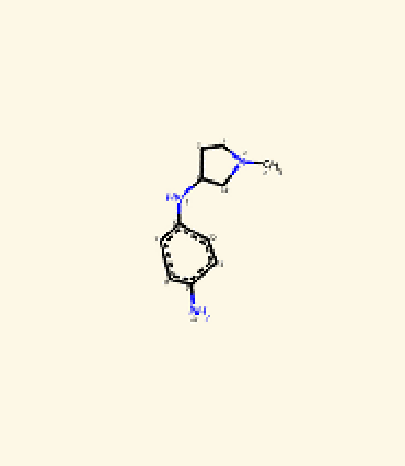 CN1CCC(Nc2ccc(N)cc2)C1